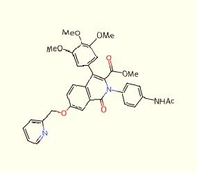 COC(=O)c1c(-c2cc(OC)c(OC)c(OC)c2)c2ccc(OCc3ccccn3)cc2c(=O)n1-c1ccc(NC(C)=O)cc1